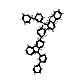 c1ccc(-c2cccc(C3c4ccccc4-c4cc(-c5ccc6c(c5)c5ccc7c8ccccc8oc7c5n6-c5cccc(-c6ccccc6)c5)ccc43)c2)cc1